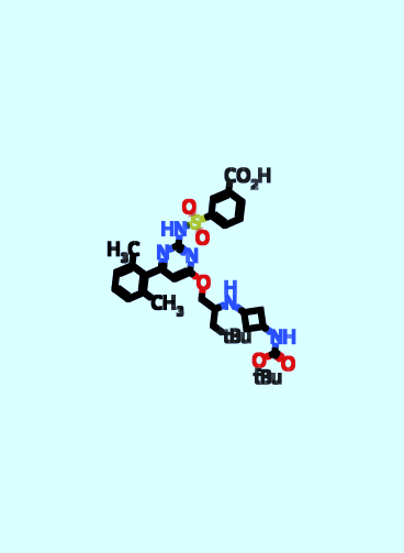 Cc1cccc(C)c1-c1cc(OCC(CC(C)(C)C)NC2CC(NC(=O)OC(C)(C)C)C2)nc(NS(=O)(=O)c2cccc(C(=O)O)c2)n1